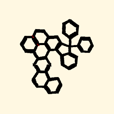 c1ccc(-c2nc3ccc4ccccc4c3nc2-c2c3c(cc4ccccc24)C(c2ccccc2)(c2ccccc2)c2ccccc2-3)cc1